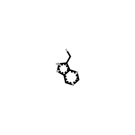 [S]Cc1[nH]nc2cncnc12